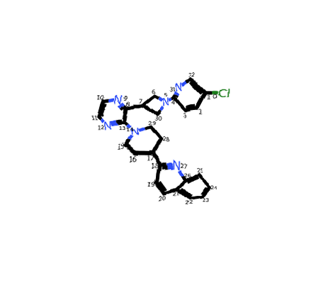 Clc1ccc(N2CC(c3nccnc3N3CCC(c4ccc5ccccc5n4)CC3)C2)nc1